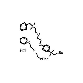 CC(C)(C)CC(C)(C)c1ccc(OCCOCC[N+](C)(C)Cc2ccccc2)cc1.CCCCCCCCCCCCCCCC[n+]1ccccc1.Cl